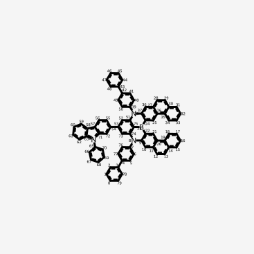 c1ccc(-c2ccc(N3c4cc5ccc6ccccc6c5cc4B4c5cc6c(ccc7ccccc76)cc5N(c5ccc(-c6ccccc6)cc5)c5cc(-c6ccc7c8ccccc8n(-c8ccccc8)c7c6)cc3c54)cc2)cc1